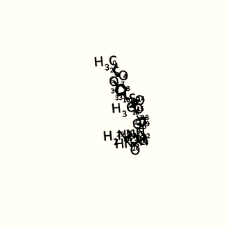 CCCC(=O)Oc1ccc(CSP(C)(=O)OC[C@@H]2CC[C@H](n3cnc4c(=O)[nH]c(N)nc43)O2)cc1